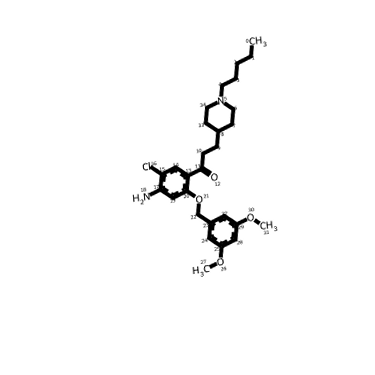 CCCCCN1CCC(CCC(=O)c2cc(Cl)c(N)cc2OCc2cc(OC)cc(OC)c2)CC1